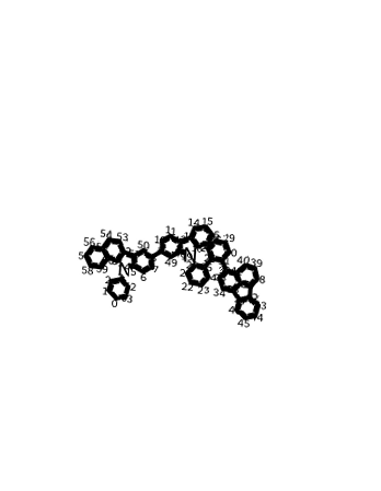 c1ccc(-n2c3ccc(-c4ccc5c6ccccc6n(-c6ccccc6-c6ccccc6-c6ccc7c8c(cccc68)-c6ccccc6-7)c5c4)cc3c3ccc4ccccc4c32)cc1